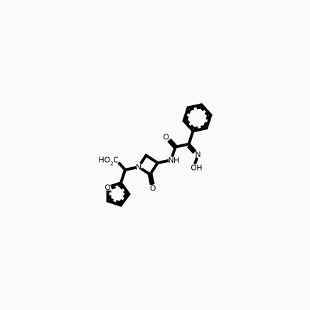 O=C(NC1CN(C(C(=O)O)c2ccco2)C1=O)C(=NO)c1ccccc1